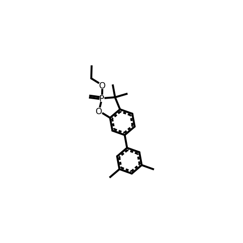 C=P1(OCC)Oc2cc(-c3cc(C)cc(C)c3)ccc2C1(C)C